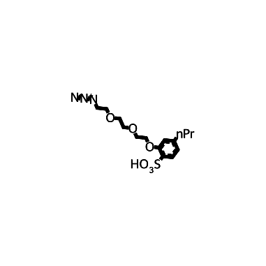 CCCc1ccc(S(=O)(=O)O)c(OCCOCCOCCN=[N+]=[N-])c1